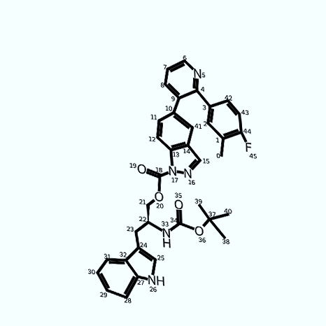 Cc1cc(-c2ncccc2-c2ccc3c(cnn3C(=O)OC[C@H](Cc3c[nH]c4ccccc34)NC(=O)OC(C)(C)C)c2)ccc1F